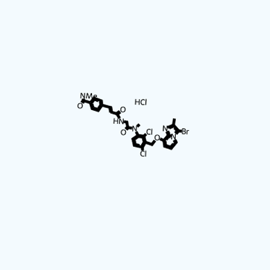 CNC(=O)c1ccc(C=CC(=O)NCC(=O)N(C)c2ccc(Cl)c(COc3cccn4c(Br)c(C)nc34)c2Cl)cc1.Cl